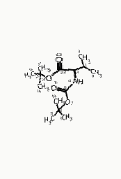 CC(C)C(NC(=O)OC(C)(C)C)C(=O)OC(C)(C)C